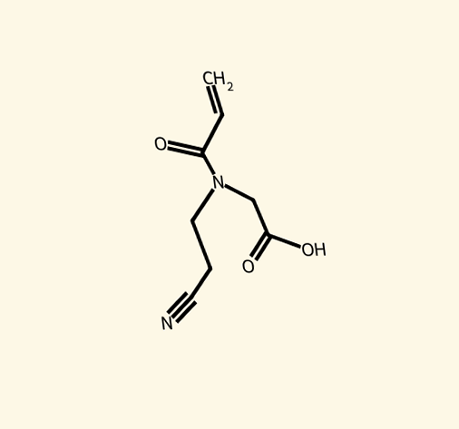 C=CC(=O)N(CCC#N)CC(=O)O